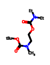 CCN(CC)C(=O)OCCN(C)C(=O)OC(C)(C)C